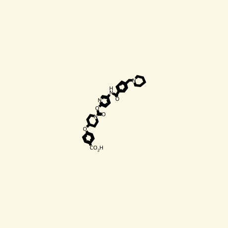 O=C(O)c1ccc(OC2CCN(C(=O)Oc3ccc(NC(=O)c4ccc(CN5CCCCC5)cc4)cn3)CC2)cc1